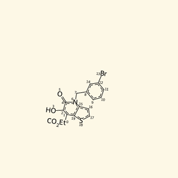 CCOC(=O)c1c(O)c(=O)n(Cc2cccc(Br)c2)c2ccsc12